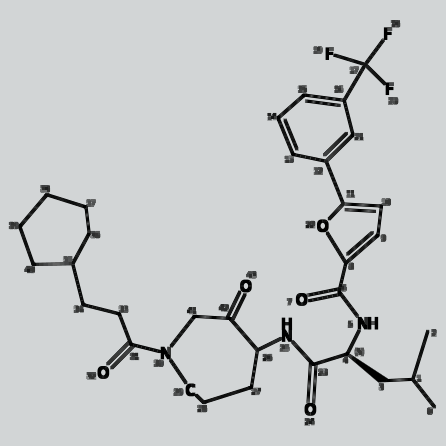 CC(C)C[C@H](NC(=O)c1ccc(-c2cccc(C(F)(F)F)c2)o1)C(=O)NC1CCCN(C(=O)CCC2CCCCC2)CC1=O